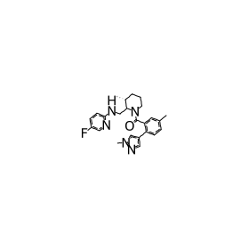 Cc1ccc(-c2cnn(C)c2)c(C(=O)N2CCC[C@@H](C)C2CNc2ccc(F)cn2)c1